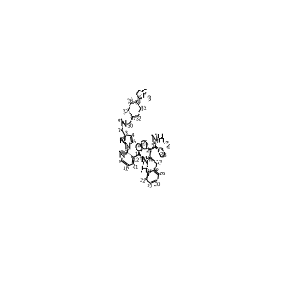 CN(Cc1ccn(-c2ncccc2C(=O)NC(Cc2ccccc2)C(=O)C(N)=O)n1)CC1CCC(C(F)(F)F)CC1